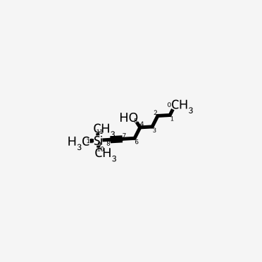 CCCCC(O)CC#C[Si](C)(C)C